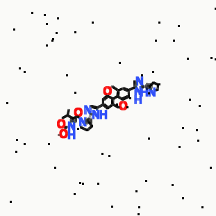 COC(=O)N[C@H](C(=O)N1CCC[C@H]1c1ncc(-c2cc3c4c(c2)OCc2cc(-c5cnc([C@@H]6CCCN6)[nH]5)cc(c2-4)OC3)[nH]1)C(C)C